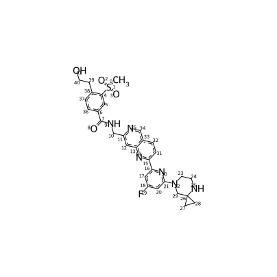 CS(=O)(=O)c1cc(C(=O)NCc2cc3nc(-c4cc(F)cc(N5CCNC6(CC6)C5)n4)ccc3cn2)ccc1CCO